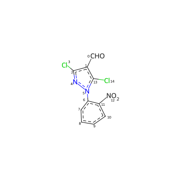 O=Cc1c(Cl)nn(-c2ccccc2[N+](=O)[O-])c1Cl